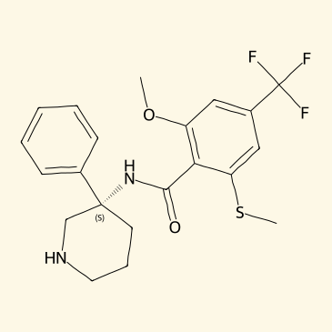 COc1cc(C(F)(F)F)cc(SC)c1C(=O)N[C@]1(c2ccccc2)CCCNC1